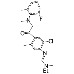 CCN(C)C=Nc1cc(C)c(C(=O)CN(C)c2c(C)cccc2F)cc1Cl